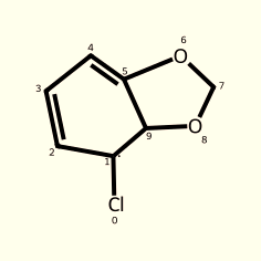 Cl[C]1C=CC=C2OCOC12